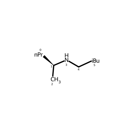 CCC[C@H](C)NCC(C)CC